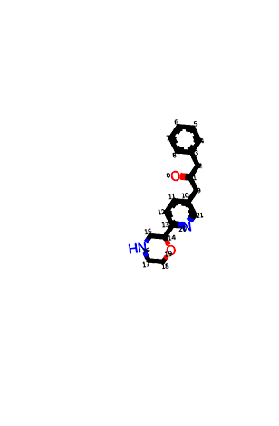 O=C(Cc1ccccc1)Cc1ccc(C2CNCCO2)nc1